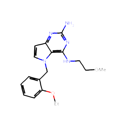 CCOc1ccccc1Cn1ccc2nc(N)nc(NCCOC)c21